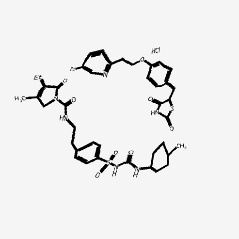 CCC1=C(C)CN(C(=O)NCCc2ccc(S(=O)(=O)NC(=O)NC3CCC(C)CC3)cc2)C1=O.CCc1ccc(CCOc2ccc(CC3SC(=O)NC3=O)cc2)nc1.Cl